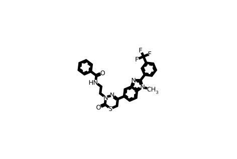 Cn1c(-c2cccc(C(F)(F)F)c2)nc2cc(C3=NN(CCNC(=O)c4ccccc4)C(=O)SC3)ccc21